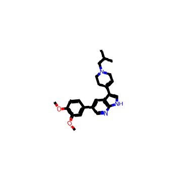 COc1ccc(-c2cnc3[nH]cc(C4=CCN(CC(C)C)CC4)c3c2)cc1OC